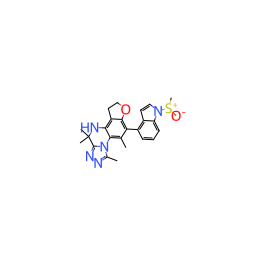 Cc1c(-c2cccc3c2ccn3[S+](C)[O-])c2c(c3c1-n1c(C)nnc1C(C)(C)N3)CCO2